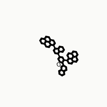 c1ccc2c(c1)ccc1c2oc2cc(-c3ccc(-c4ccc5ccc6cccc7ccc4c5c67)c4ccccc34)cc(-c3ccc4ccc5cccc6ccc3c4c56)c21